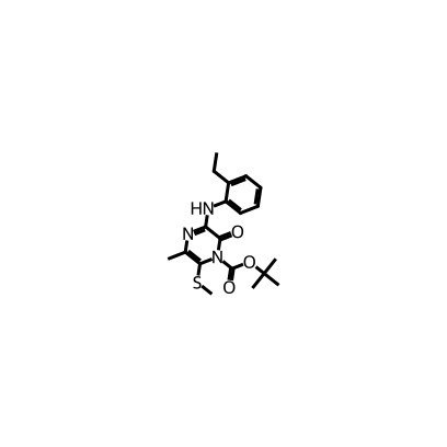 CCc1ccccc1Nc1nc(C)c(SC)n(C(=O)OC(C)(C)C)c1=O